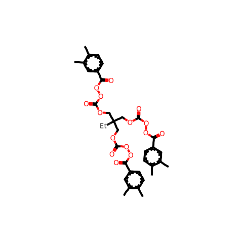 CCC(COC(=O)OOC(=O)c1ccc(C)c(C)c1)(COC(=O)OOC(=O)c1ccc(C)c(C)c1)COC(=O)OOC(=O)c1ccc(C)c(C)c1